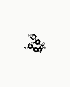 COc1cncc(-c2ccc3ncc4c(c3c2)n(-c2ccc(N3CCNCC3)c(Cl)c2)c(=O)n4C)c1